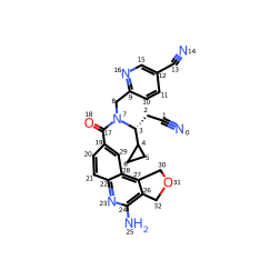 N#CC[C@H](C1CC1)N(Cc1ccc(C#N)cn1)C(=O)c1ccc2nc(N)c3c(c2c1)COC3